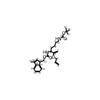 C=CCOC(=C)C(CCCCNC(=O)OC(C)(C)C)NC(=O)OCC1C=C(C)c2ccccc21